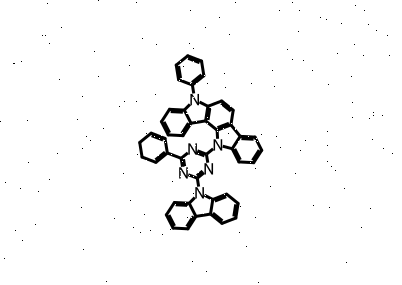 C1=CC(c2nc(-n3c4ccccc4c4ccccc43)nc(-n3c4ccccc4c4ccc5c(c6ccccc6n5-c5ccccc5)c43)n2)=CCC1